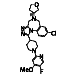 COc1cc(N2CCC(c3nnc4n3-c3ccc(Cl)cc3CN([C@@H]3CCOC3)C4)CC2)ncc1F